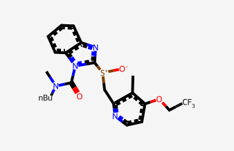 [CH2]CCCN(C)C(=O)n1c([S+]([O-])Cc2nccc(OCC(F)(F)F)c2C)nc2ccccc21